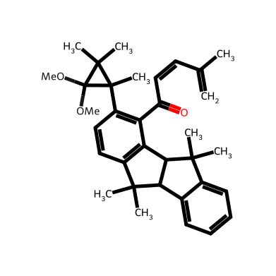 C=C(C)/C=C\C(=O)c1c(C2(C)C(C)(C)C2(OC)OC)ccc2c1C1C(c3ccccc3C1(C)C)C2(C)C